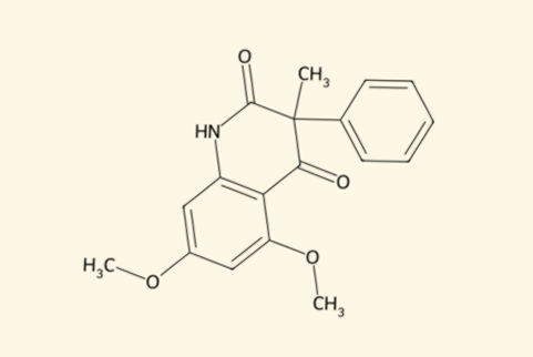 COc1cc2c(c(OC)c1)C(=O)C(C)(c1ccccc1)C(=O)N2